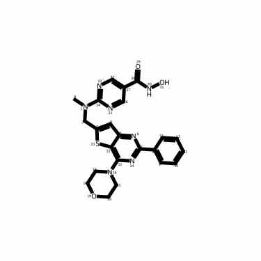 CN(Cc1cc2nc(-c3ccccc3)nc(N3CCOCC3)c2s1)c1ncc(C(=O)NO)cn1